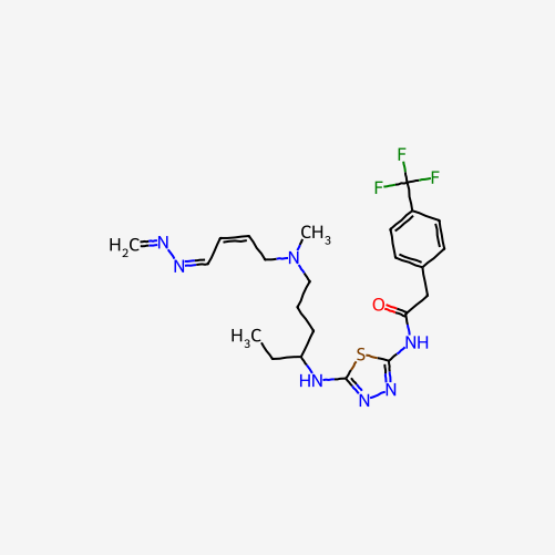 C=N/N=C\C=C/CN(C)CCCC(CC)Nc1nnc(NC(=O)Cc2ccc(C(F)(F)F)cc2)s1